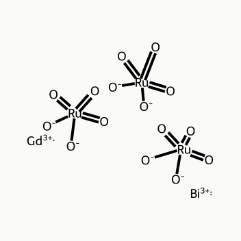 [Bi+3].[Gd+3].[O]=[Ru](=[O])(=[O])([O-])[O-].[O]=[Ru](=[O])(=[O])([O-])[O-].[O]=[Ru](=[O])(=[O])([O-])[O-]